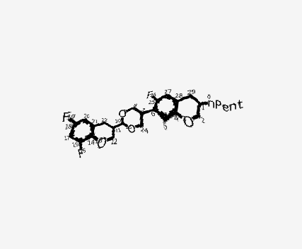 CCCCCC1COc2cc(C3COC(C4COc5c(F)cc(F)cc5C4)OC3)c(F)cc2C1